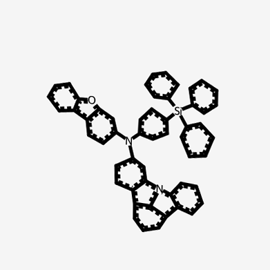 c1ccc([Si](c2ccccc2)(c2ccccc2)c2ccc(N(c3ccc4c(c3)oc3ccccc34)c3ccc4c5cccc6c7ccccc7n(c4c3)c65)cc2)cc1